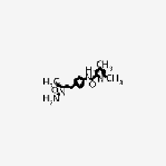 Cc1cc(C)nc(C(=O)Nc2ccc(CCC3N=C(N)O[C@H]3C)cc2)c1